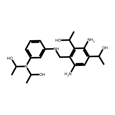 CC(O)c1cc(N)c(CNc2cccc(N(C(C)O)C(C)O)c2)c(C(C)O)c1N